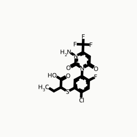 CCC(Sc1cc(-n2c(=O)cc(C(F)(F)F)n(N)c2=O)c(F)cc1Cl)C(=O)O